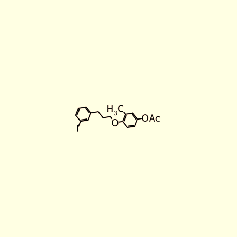 CC(=O)Oc1ccc(OCCCc2cccc(I)c2)c(C)c1